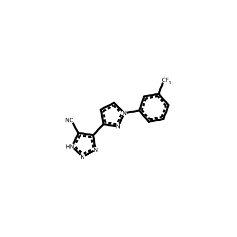 N#Cc1[nH]nnc1-c1ccn(-c2cccc(C(F)(F)F)c2)n1